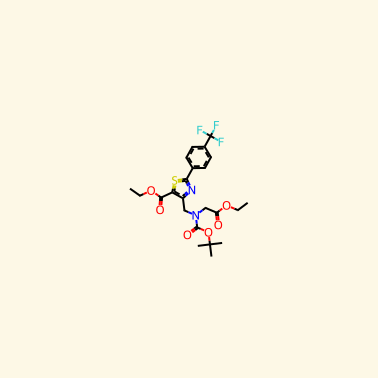 CCOC(=O)CN(Cc1nc(-c2ccc(C(F)(F)F)cc2)sc1C(=O)OCC)C(=O)OC(C)(C)C